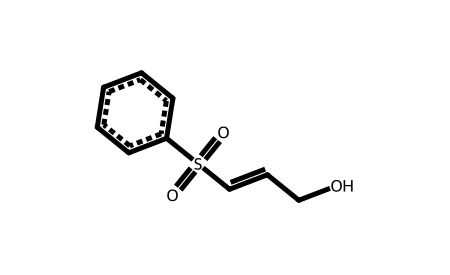 O=S(=O)(C=CCO)c1ccccc1